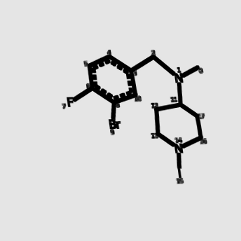 CN(Cc1ccc(F)c(Br)c1)C1CCN(I)CC1